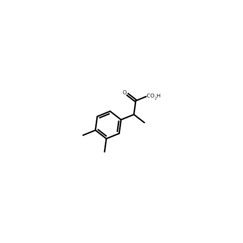 Cc1ccc(C(C)C(=O)C(=O)O)cc1C